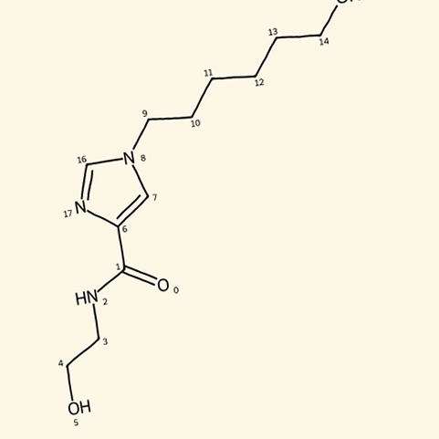 O=C(NCCO)c1cn(CCCCCCO)cn1